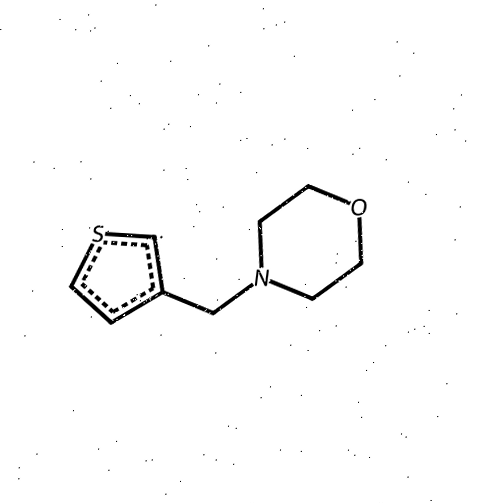 [c]1sccc1CN1CCOCC1